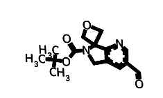 CC(C)(C)OC(=O)N1Cc2cc(C=O)cnc2C12COC2